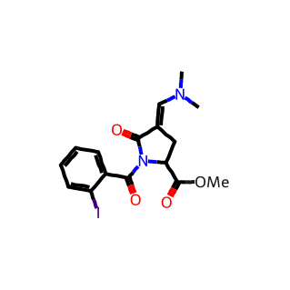 COC(=O)C1CC(=CN(C)C)C(=O)N1C(=O)c1ccccc1I